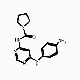 Nc1ccc(Nc2cc(NC(=O)N3CCCC3)ncn2)cc1